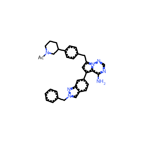 CC(=O)N1CCCC(c2ccc(Cc3cc(-c4ccc5cn(Cc6ccccc6)nc5c4)c4c(N)ncnn34)cc2)C1